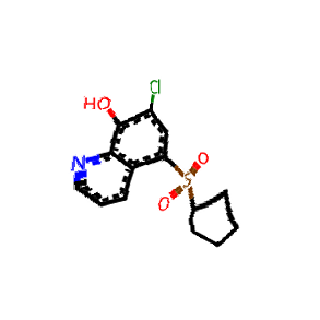 O=S(=O)(c1cc(Cl)c(O)c2ncccc12)C1CCCC1